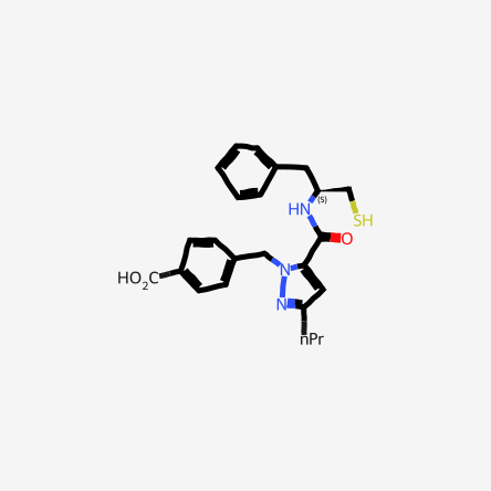 CCCc1cc(C(=O)N[C@H](CS)Cc2ccccc2)n(Cc2ccc(C(=O)O)cc2)n1